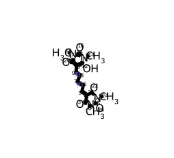 CN1C(=O)C(=C/C=C/C=C/c2c(O)n(C)c(=O)n(C)c2=O)C(=O)N(C)C1=O